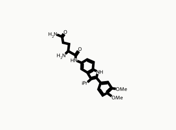 COc1ccc(-c2[nH]c3ccc(NC(=O)C(N)CCC(N)=O)cc3c2C(C)C)cc1OC